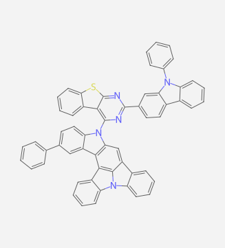 c1ccc(-c2ccc3c(c2)c2c4c5ccccc5n5c6ccccc6c(cc2n3-c2nc(-c3ccc6c7ccccc7n(-c7ccccc7)c6c3)nc3sc6ccccc6c23)c45)cc1